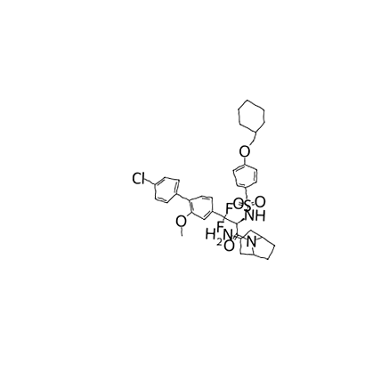 COc1cc(C(F)(F)[C@@H](NS(=O)(=O)c2ccc(OCC3CCCCC3)cc2)C(=O)N2C3CCC2CC(N)C3)ccc1-c1ccc(Cl)cc1